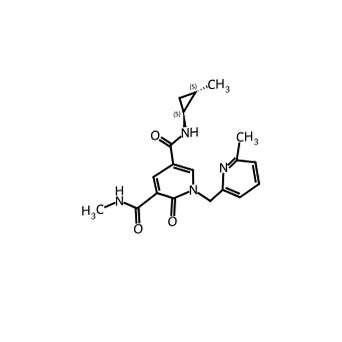 CNC(=O)c1cc(C(=O)N[C@H]2C[C@@H]2C)cn(Cc2cccc(C)n2)c1=O